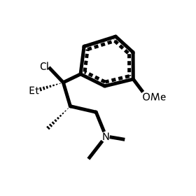 CC[C@](Cl)(c1cccc(OC)c1)[C@@H](C)CN(C)C